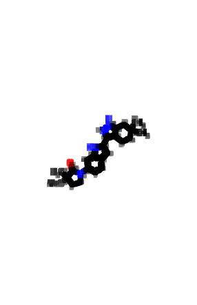 COC1(C)CCN(c2ccc3cc(-c4n[nH]c5c4CCC(C)(C)C5)[nH]c3c2)C1=O